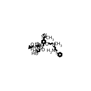 Cc1ncsc1-c1ccc(CNC(=O)[C@@H]2C[C@@H](O)CN2C(=O)C(NC(=O)C2(F)CC2)C(C)(C)C)c(OCCCN(C)CCC(N)CSc2ccccc2)c1